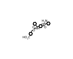 Nc1ccccc1NC(=O)c1ccc([C@@H](NC(=O)OCc2ccc(C(=O)O)cc2)c2ccccc2)cc1